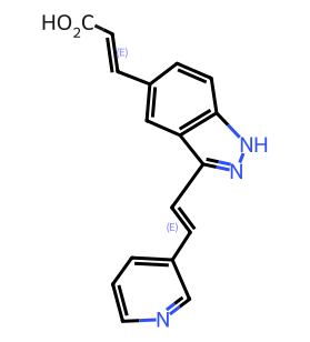 O=C(O)/C=C/c1ccc2[nH]nc(/C=C/c3cccnc3)c2c1